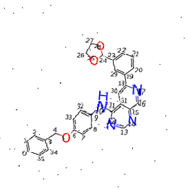 c1ccc(COc2ccc(Nc3ncnc4cnc(-c5cccc(C6OCCO6)c5)cc34)cc2)cc1